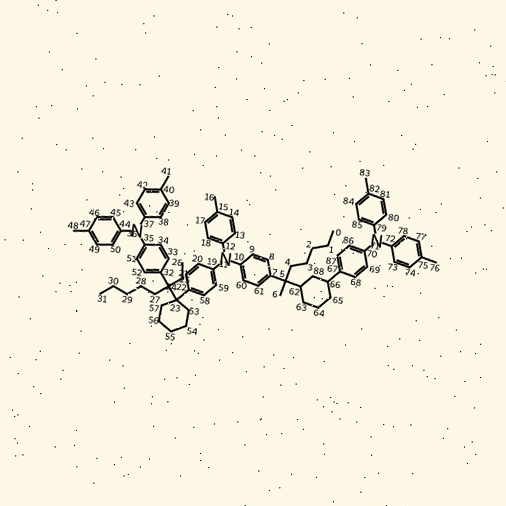 CCCCCC(C)(c1ccc(N(c2ccc(C)cc2)c2ccc(C3(C(CC)(CCCCC)c4ccc(N(c5ccc(C)cc5)c5ccc(C)cc5)cc4)CCCCC3)cc2)cc1)C1CCCC(c2ccc(N(c3ccc(C)cc3)c3ccc(C)cc3)cc2)C1